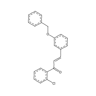 O=C(/C=C/c1cccc(OCc2ccccc2)c1)c1ccccc1Cl